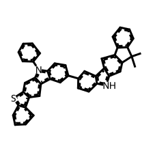 CC1(C)c2ccccc2-c2cc3c(cc21)[nH]c1ccc(-c2ccc4c(c2)c2cc5c(cc2n4-c2ccccc2)sc2ccccc25)cc13